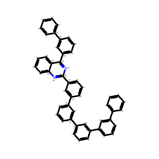 c1ccc(-c2cccc(-c3cccc(-c4cccc(-c5cccc(-c6nc(-c7cccc(-c8ccccc8)c7)c7ccccc7n6)c5)c4)c3)c2)cc1